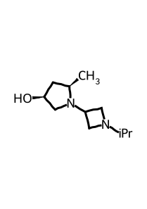 CC(C)N1CC(N2C[C@@H](O)C[C@H]2C)C1